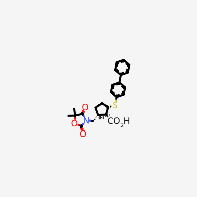 CC1(C)OC(=O)N(C[C@@H]2CC[C@H](Sc3ccc(-c4ccccc4)cc3)[C@H]2C(=O)O)C1=O